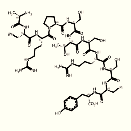 CC(C)C[C@H](NC(=O)[C@H](C)N)C(=O)N[C@@H](CCCNC(=N)N)C(=O)N1CCC[C@H]1C(=O)N[C@@H](CO)C(=O)N[C@H](C(=O)N[C@@H](CO)C(=O)N[C@@H](CCCNC(=N)N)C(=O)N[C@@H](CO)C(=O)N[C@@H](CC(C)C)C(=O)N[C@@H](Cc1ccc(O)cc1)C(=O)O)[C@@H](C)O